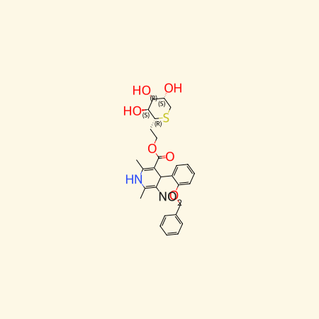 CC1=C(C(=O)OCC[C@H]2SC[C@@H](O)[C@@H](O)[C@@H]2O)C(c2ccccc2OCc2ccccc2)C([N+](=O)[O-])=C(C)N1